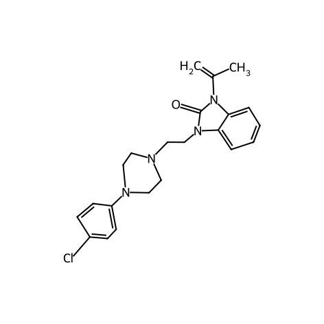 C=C(C)n1c(=O)n(CCN2CCN(c3ccc(Cl)cc3)CC2)c2ccccc21